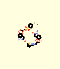 Cc1ccc(S(=O)(=O)OC[C@H]2COc3ccc4c(c3O2)CC(=O)N4)cc1.O=C1Cc2c(ccc3c2OC(CNCc2cccs2)CO3)N1